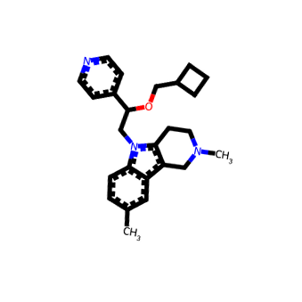 Cc1ccc2c(c1)c1c(n2CC(OCC2CCC2)c2ccncc2)CCN(C)C1